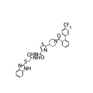 O=C(CSc1nc2ccccc2[nH]1)NNC(=O)c1csc(C2CCN(C(=O)c3ccccc3-c3ccc(C(F)(F)F)cc3)CC2)n1